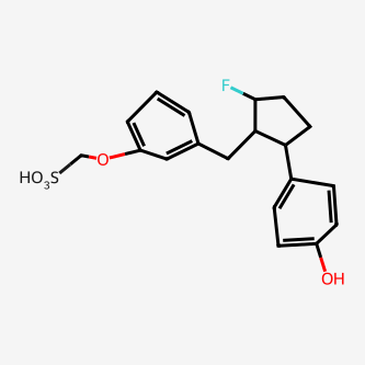 O=S(=O)(O)COc1cccc(CC2C(F)CCC2c2ccc(O)cc2)c1